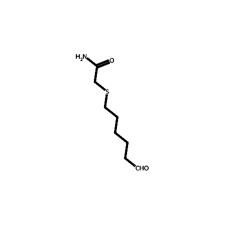 NC(=O)CSCCCCCC=O